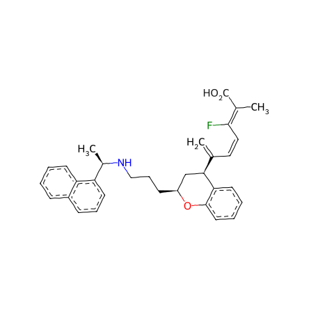 C=C(/C=C\C(F)=C(/C)C(=O)O)[C@@H]1C[C@H](CCCN[C@H](C)c2cccc3ccccc23)Oc2ccccc21